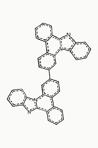 c1ccc2c(c1)nc1c3ccccc3c3ccc(-c4ccc5c6ccccc6c6nc7ccccc7n6c5c4)cc3n21